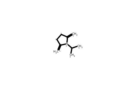 C=C1CCC(=C)N1C(C)C